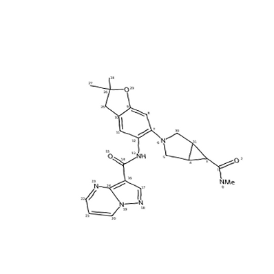 CNC(=O)C1C2CN(c3cc4c(cc3NC(=O)c3cnn5cccnc35)CC(C)(C)O4)CC21